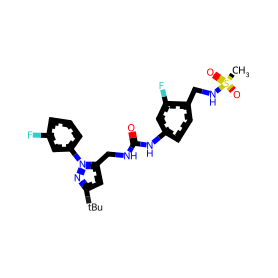 CC(C)(C)c1cc(CNC(=O)Nc2ccc(CNS(C)(=O)=O)c(F)c2)n(-c2cccc(F)c2)n1